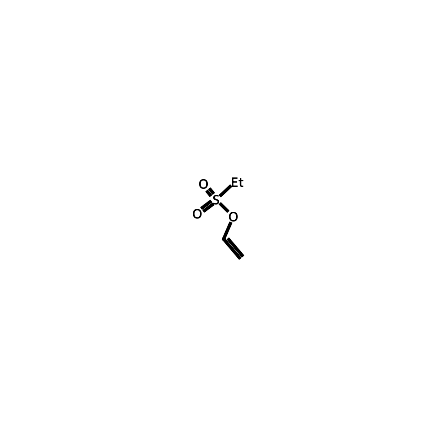 C=COS(=O)(=O)CC